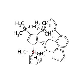 C[Si](C)(C)C1=CC([Si](C)(C)C)[C]([Zr](=[C](c2ccccc2)c2ccccc2)[CH]2c3ccccc3-c3ccccc32)=C1[Si](C)(C)C